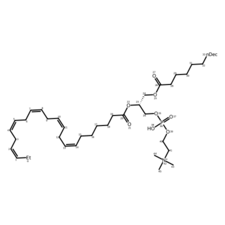 CC/C=C\C/C=C\C/C=C\C/C=C\C/C=C\CCCCCC(=O)O[C@H](COC(=O)CCCCCCCCCCCCCCC)COP(=O)(O)OCC[N+](C)(C)C